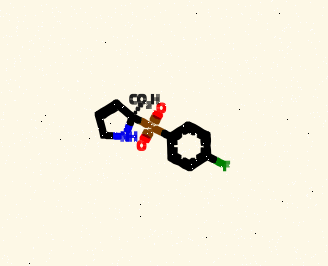 O=C(O)[C@@]1(S(=O)(=O)c2ccc(F)cc2)C=CCN1